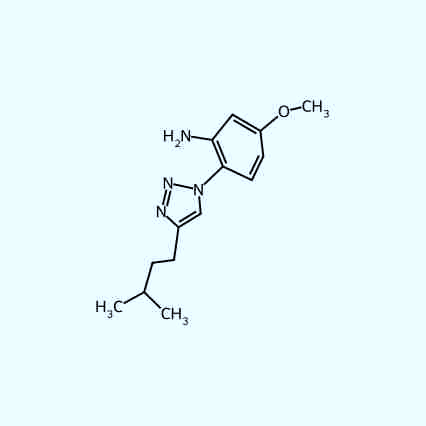 COc1ccc(-n2cc(CCC(C)C)nn2)c(N)c1